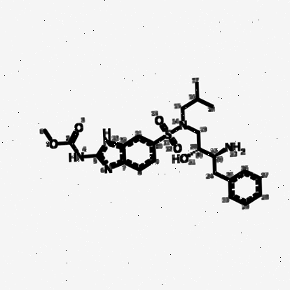 COC(=O)Nc1nc2ccc(S(=O)(=O)N(CC(C)C)C[C@@H](O)[C@@H](N)Cc3ccccc3)cc2[nH]1